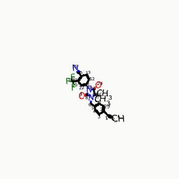 C#Cc1ccc(CN2C(=O)N(c3ccc(C#N)c(C(F)(F)F)c3)C(=O)C2(C)C)cc1